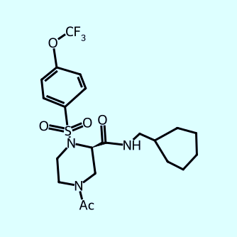 CC(=O)N1CCN(S(=O)(=O)c2ccc(OC(F)(F)F)cc2)[C@@H](C(=O)NCC2CCCCC2)C1